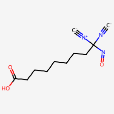 [C-]#[N+]C(CCCCCCCC(=O)O)(N=O)[N+]#[C-]